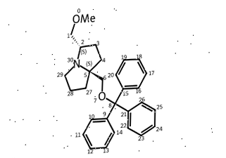 COC[C@@H]1CC[C@]2(COC(c3ccccc3)(c3ccccc3)c3ccccc3)CCCN12